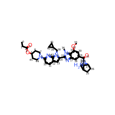 CCC(=O)OC1CCN(c2ccc3cc(-c4nc5cc(C(=O)N6CC7CCC6[C@@H]7N)cc(OC)c5n4C)n(CC4CC4)c3n2)CC1